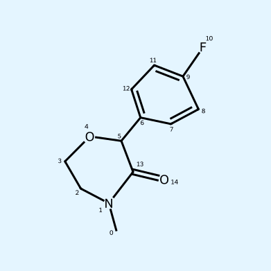 CN1CCOC(c2ccc(F)cc2)C1=O